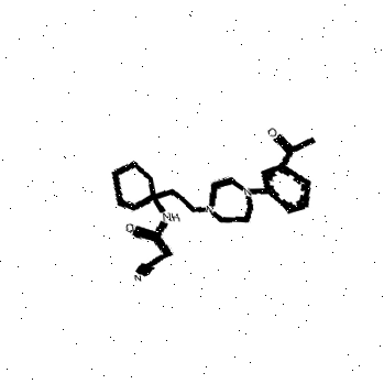 CC(=O)c1cccc(N2CCN(CCC3(NC(=O)CC#N)CCCCC3)CC2)c1